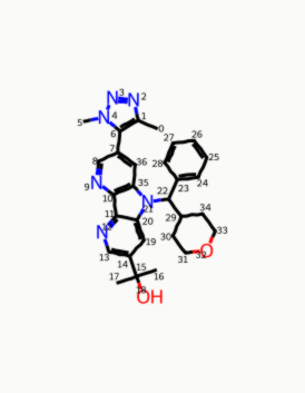 Cc1nnn(C)c1-c1cnc2c3ncc(C(C)(C)O)cc3n(C(c3ccccc3)C3CCOCC3)c2c1